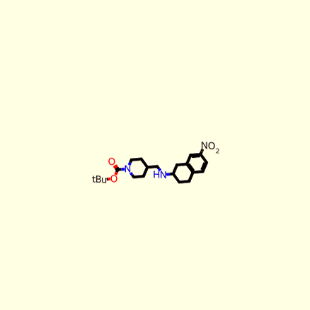 CC(C)(C)OC(=O)N1CCC(CNC2CCc3ccc([N+](=O)[O-])cc3C2)CC1